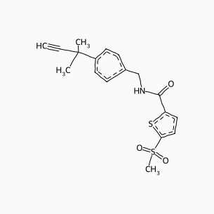 C#CC(C)(C)c1ccc(CNC(=O)c2ccc(S(C)(=O)=O)s2)cc1